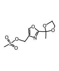 CC1(c2nc(COS(C)(=O)=O)co2)OCCO1